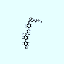 CN(CCCN)Cc1ccc(CCC(=O)Nc2ccc(-c3ccc(Cl)cc3)cc2)cc1